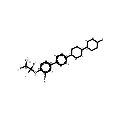 CC1CCC(C2CCC(c3ccc(-c4ccc(OC(F)(F)C(F)C(F)(F)F)c(F)c4)cc3)CC2)CC1